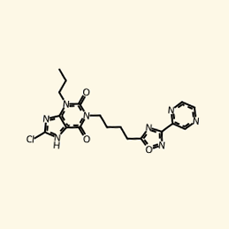 CCCn1c(=O)n(CCCCc2nc(-c3cnccn3)no2)c(=O)c2[nH]c(Cl)nc21